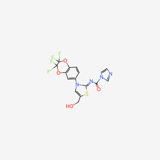 O=C(/N=c1\sc(CO)cn1-c1ccc2c(c1)OC(F)(F)C(F)(F)O2)n1ccnc1